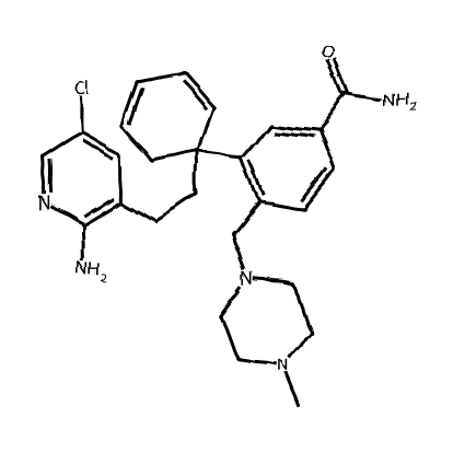 CN1CCN(Cc2ccc(C(N)=O)cc2C2(CCc3cc(Cl)cnc3N)C=CC=CC2)CC1